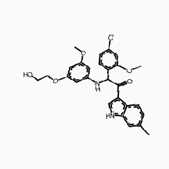 COc1cc(NC(C(=O)c2c[nH]c3cc(C)ccc23)c2ccc(Cl)cc2OC)cc(OCCO)c1